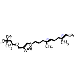 CCC/C=C(\C)CC/C=C(\C)CCCn1cc(COCCC(C)(C)CCC)nn1